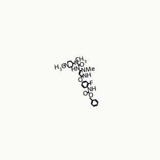 CN/C(=C\C(=N)Oc1ccc(NC(=O)OCc2ccccc2)c(F)c1)NC(=O)N(C)C1CCN(C)CC1